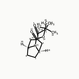 COC(=O)[C@H]1C[C@H]2CC[C@@H](C1)N2C(=O)OC(C)(C)C